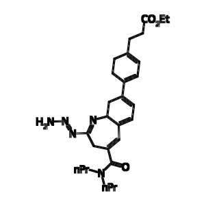 CCCN(CCC)C(=O)C1=CC2=CC=C(C3=CC=C(CCC(=O)OCC)CC3)CC2N=C(N=NN)C1